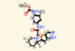 CCc1cc(NC(=O)C(=O)N2C[C@@H](C)CC[C@@]2(C)c2cc3[nH]ncc3s2)cnc1NC(=O)OC(C)(C)C